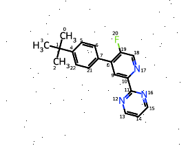 CC(C)(C)c1ccc(-c2cc(-c3ncccn3)ncc2F)cc1